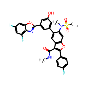 CNC(=O)c1c(-c2ccc(F)cc2)oc2cc(N(C)S(C)(=O)=O)c(-c3cc(O)cc(-c4nc5c(F)cc(F)cc5o4)c3)cc12